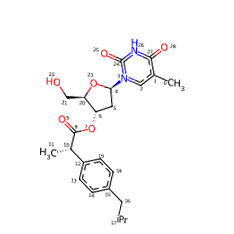 Cc1cn([C@H]2C[C@H](OC(=O)[C@@H](C)c3ccc(CC(C)C)cc3)[C@@H](CO)O2)c(=O)[nH]c1=O